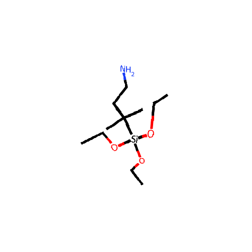 CCO[Si](OCC)(OCC)C(C)(C)CCN